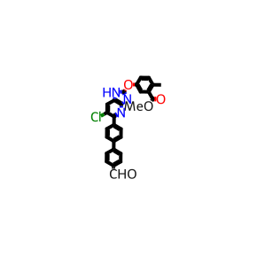 COC(=O)c1cc(Oc2nc3nc(-c4ccc(-c5ccc(C=O)cc5)cc4)c(Cl)cc3[nH]2)ccc1C